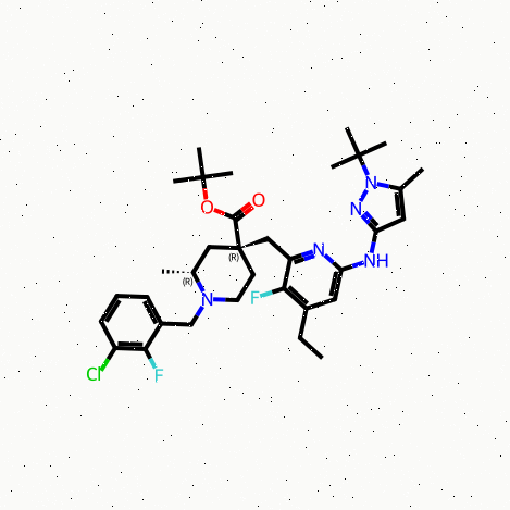 CCc1cc(Nc2cc(C)n(C(C)(C)C)n2)nc(C[C@@]2(C(=O)OC(C)(C)C)CCN(Cc3cccc(Cl)c3F)[C@H](C)C2)c1F